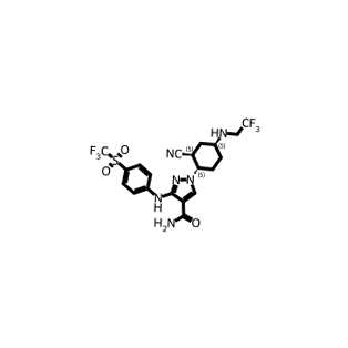 N#C[C@H]1C[C@@H](NCC(F)(F)F)CC[C@@H]1n1cc(C(N)=O)c(Nc2ccc(S(=O)(=O)C(F)(F)F)cc2)n1